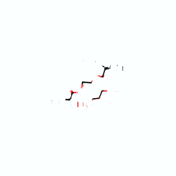 C=C(C)C(=O)OCCOC(=O)C(=C)C.OCC(O)CO